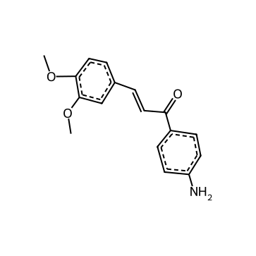 COc1ccc(/C=C/C(=O)c2ccc(N)cc2)cc1OC